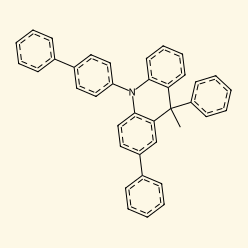 CC1(c2ccccc2)c2ccccc2N(c2ccc(-c3ccccc3)cc2)c2ccc(-c3ccccc3)cc21